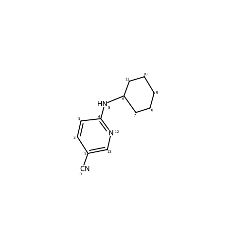 N#Cc1ccc(NC2CCCCC2)nc1